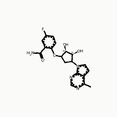 Cc1ncnc2c1ccn2C1CC(Oc2ccc(F)cc2C(N)=O)[C@@H](O)[C@H]1O